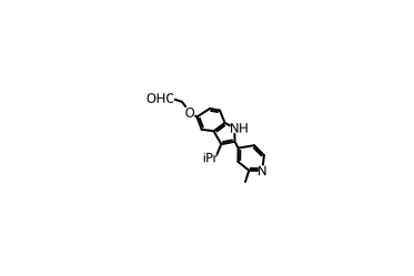 Cc1cc(-c2[nH]c3ccc(OCC=O)cc3c2C(C)C)ccn1